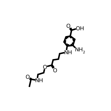 CC(=O)NCCOC(=O)CCCNc1ccc(C(=O)O)cc1N